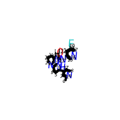 Cc1cc(-c2ccc3c(n2)N(C(=O)Nc2cncc(F)c2)[C@H]2CCCN3C2)ccn1